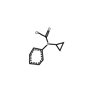 O=C(Cl)N(c1ccccc1)C1CC1